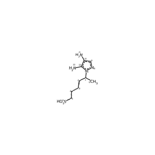 CC(CCCCS(=O)(=O)O)n1ncc(N)c1N